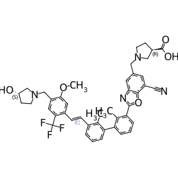 COc1cc(/C=C/c2cccc(-c3cccc(-c4nc5cc(CN6CC[C@@H](C(=O)O)C6)cc(C#N)c5o4)c3C)c2C)c(C(F)(F)F)cc1CN1CC[C@H](O)C1